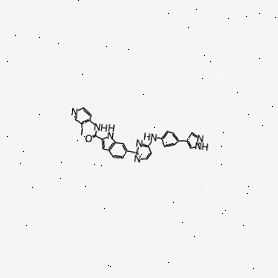 O=C(Nc1ccncc1I)c1cc2ccc(-c3nccc(Nc4ccc(-c5cn[nH]c5)cc4)n3)cc2[nH]1